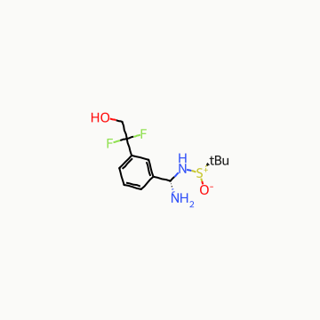 CC(C)(C)[S@@+]([O-])N[C@H](N)c1cccc(C(F)(F)CO)c1